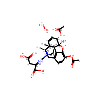 CC(=O)Oc1ccc2c3c1O[C@H]1[C@@H](OC(C)=O)C=C[C@H]4[C@@H](C2)N(C)CC[C@@]341.N=C(CC(=O)O)C(=O)O.OO